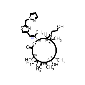 C/C(=C\c1csc(Cn2cccn2)n1)[C@@H]1C[C@@H]2N(CCO)[C@]2(C)CCC[C@H](C)[C@H](O)[C@@H](C)C(=O)C(C)(C)[C@@H](O)CC(=O)O1